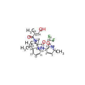 Cc1ccc(NC(=O)C2(c3ccccc3C(C)C)CN(C(=O)C(C)CO)C2)c(OC(F)F)n1